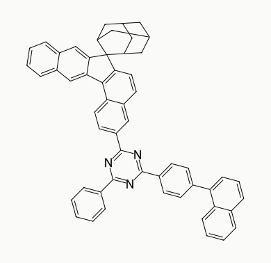 c1ccc(-c2nc(-c3ccc(-c4cccc5ccccc45)cc3)nc(-c3ccc4c5c(ccc4c3)C3(c4cc6ccccc6cc4-5)C4CC5CC(C4)CC3C5)n2)cc1